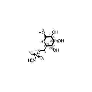 NS(=O)(=O)NC[C@H]1OC(O)[C@@H](O)[C@@H](O)[C@@H]1O